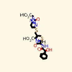 O=C(O)Cn1nc2ccc(SCC3=C(C(=O)O)N4C(=O)C(NC(=O)C(O)c5ccccc5)[C@@H]4SC3)nn2c1=O